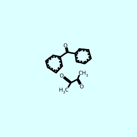 CC(=O)C(C)=O.O=C(c1ccccc1)c1ccccc1